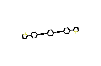 C(#Cc1ccc(-c2cccs2)cc1)c1ccc(C#Cc2ccc(-c3cccs3)cc2)cc1